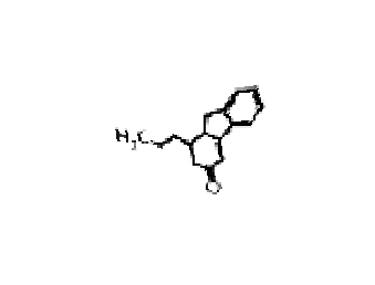 CCCC1CC(=O)C=C2c3ccccc3CC21